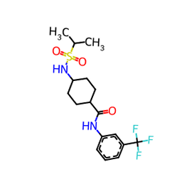 CC(C)S(=O)(=O)NC1CCC(C(=O)Nc2cccc(C(F)(F)F)c2)CC1